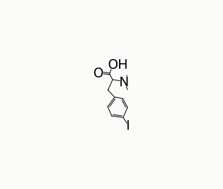 CN(C)C(Cc1ccc(I)cc1)C(=O)O